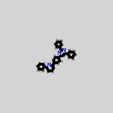 c1ccc(-c2cccc(-c3ccc(-c4cc(-c5ccccc5)nc(-c5ccccc5)n4)cc3)n2)cc1